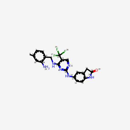 Cc1ccc(CNc2nc(Nc3ccc4c(c3)CC(=O)N4)ncc2C(F)(F)F)c(N)c1